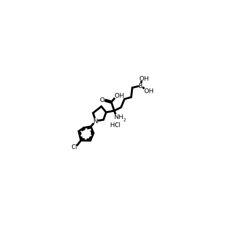 Cl.NC(CCCCB(O)O)(C(=O)O)C1CCN(c2ccc(Cl)cc2)C1